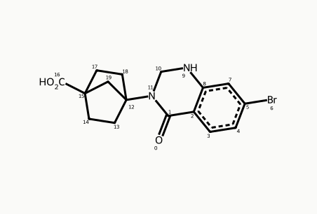 O=C1c2ccc(Br)cc2NCN1C12CCC(C(=O)O)(CC1)C2